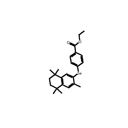 CCOC(=O)c1ccc([Se]c2cc3c(cc2C)C(C)(C)CCC3(C)C)cc1